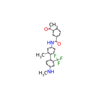 CNc1ccc(-c2ccc(NC(=O)c3cccc(C(C)=O)c3)cc2C)c(C(F)(F)F)c1